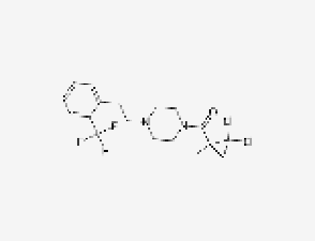 CC1(C(=O)N2CCN(CCc3ccccc3C(F)(F)F)CC2)CC1(Cl)Cl